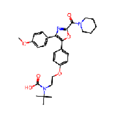 COc1ccc(-c2nc(C(=O)N3CCCCC3)oc2-c2ccc(OCCN(C(=O)O)C(C)(C)C)cc2)cc1